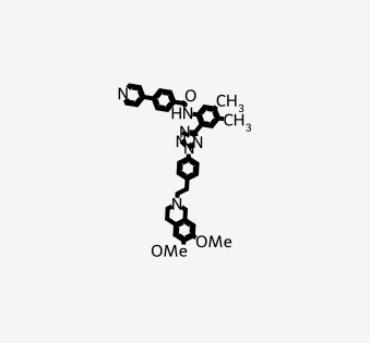 COc1cc2c(cc1OC)CN(CCc1ccc(-n3nnc(-c4cc(C)c(C)cc4NC(=O)c4ccc(-c5ccncc5)cc4)n3)cc1)CC2